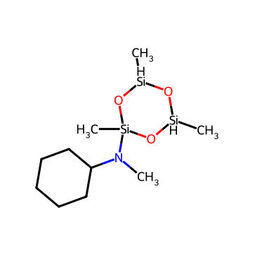 CN(C1CCCCC1)[Si]1(C)O[SiH](C)O[SiH](C)O1